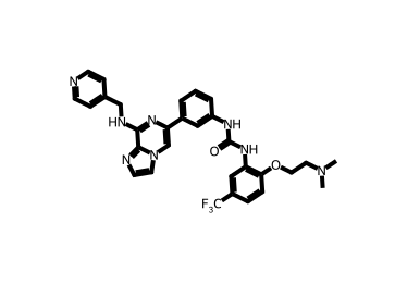 CN(C)CCOc1ccc(C(F)(F)F)cc1NC(=O)Nc1cccc(-c2cn3ccnc3c(NCc3ccncc3)n2)c1